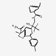 Cc1cc(C(=O)NCC(O)(c2cc3c(c(-c4ccc(F)cc4)n2)OC[C@]3(C)C(N)=O)C(F)(F)F)ccn1